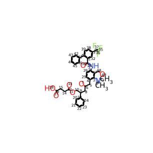 CN(C)c1c(CC(=O)CC(COC(=O)CCC(=O)O)c2ccccc2)ccc(NC(=O)c2cc(C(F)(F)F)ccc2-c2ccccc2)c1C=O